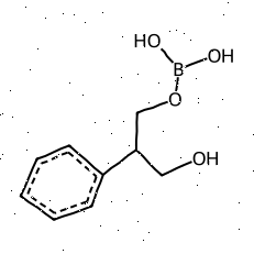 OCC(COB(O)O)c1ccccc1